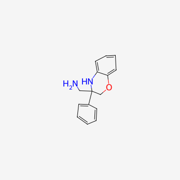 NCC1(c2ccccc2)COc2ccccc2N1